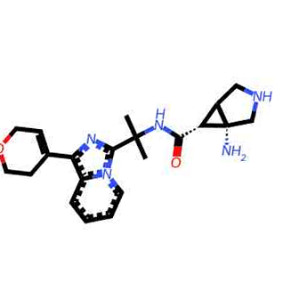 CC(C)(NC(=O)[C@@H]1C2CNC[C@]21N)c1nc(C2=CCOCC2)c2ccccn12